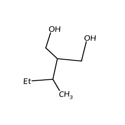 CCC(C)C(CO)CO